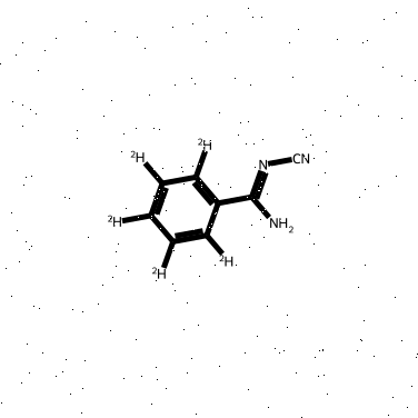 [2H]c1c([2H])c([2H])c(C(N)=NC#N)c([2H])c1[2H]